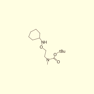 CN(CCONC1CCCCC1)C(=O)OC(C)(C)C